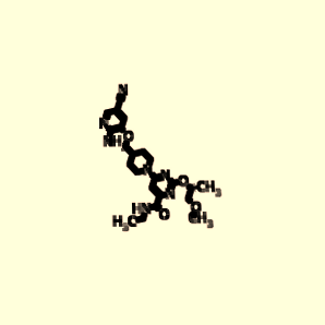 CCNC(=O)c1cc(N2CCC(COc3cc(C#N)cnc3N)CC2)nc(O[C@H](C)COC)n1